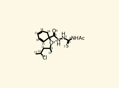 CC(=O)NC(=S)NNC(=O)C1(OC(C)CC(C)Cl)C=CC=CC1